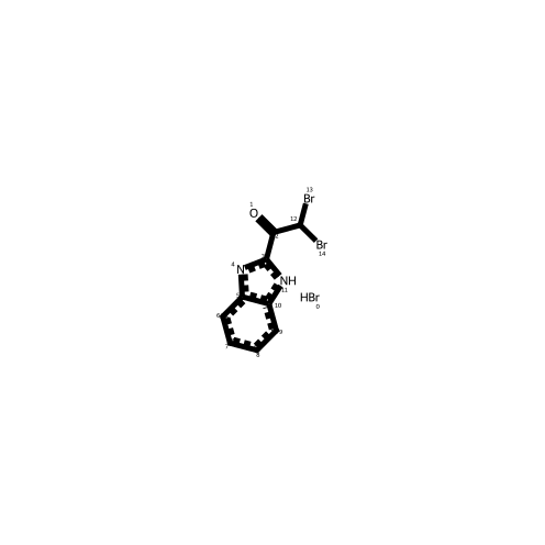 Br.O=C(c1nc2ccccc2[nH]1)C(Br)Br